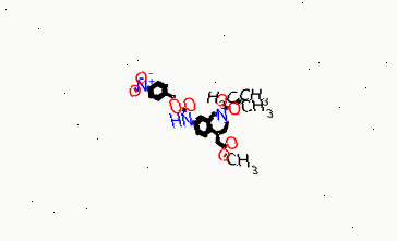 COC(=O)CC1CCN(C(=O)OC(C)(C)C)Cc2cc(NC(=O)OCc3ccc([N+](=O)[O-])cc3)ccc21